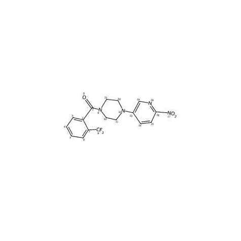 O=C(c1ccccc1C(F)(F)F)N1CCN(c2ccc([N+](=O)[O-])nc2)CC1